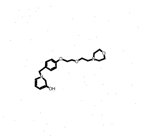 OC1=CC=CN(Cc2ccc(OCCOCCN3CCOCC3)cc2)C1